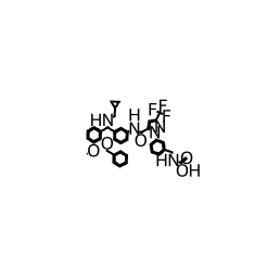 COc1cccc(C(NCC2CC2)c2cccc(NC(=O)c3cc(C(F)(F)F)nn3-c3cccc(CNC(=O)O)c3)c2)c1OCc1ccccc1